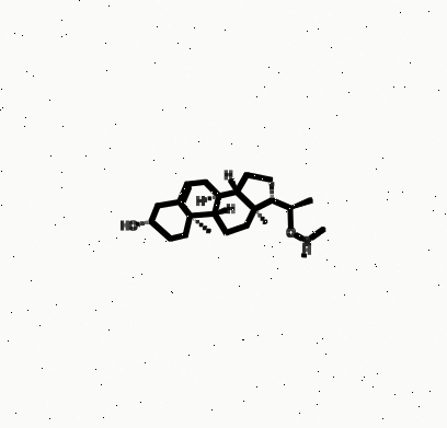 C[C@@H](O[SiH](C)C)[C@H]1CC[C@H]2[C@@H]3CC=C4C[C@@H](O)CC[C@]4(C)[C@H]3CC[C@]12C